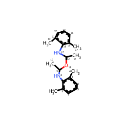 Cc1cccc(C)c1NC(C)OC(C)Nc1c(C)cccc1C